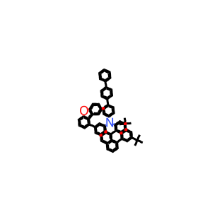 CC(C)(C)c1cc(-c2cccc3cccc(-c4ccccc4N(c4ccc(-c5ccc(-c6ccccc6)cc5)cc4)c4cccc(-c5cccc6oc7ccccc7c56)c4)c23)cc(C(C)(C)C)c1